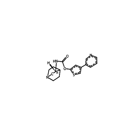 O=C(N[C@H]1CN2CCC1CC2)Oc1cc(-c2cccnc2)cs1